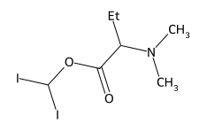 CCC(C(=O)OC(I)I)N(C)C